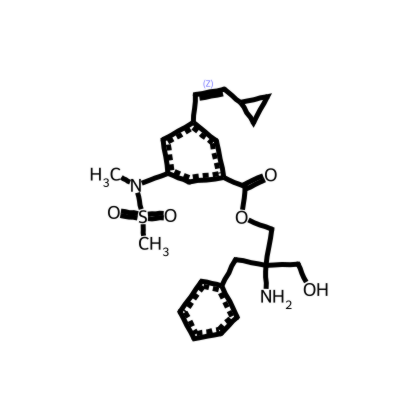 CN(c1cc(/C=C\C2CC2)cc(C(=O)OCC(N)(CO)Cc2ccccc2)c1)S(C)(=O)=O